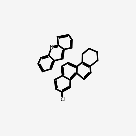 Clc1ccc2ccc3c4c(ccc3c2c1)CCCC4.c1ccc2nc3ccccc3cc2c1